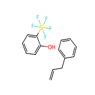 C=CCc1ccccc1.Oc1ccccc1S(F)(F)(F)(F)F